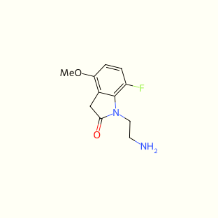 COc1ccc(F)c2c1CC(=O)N2CCN